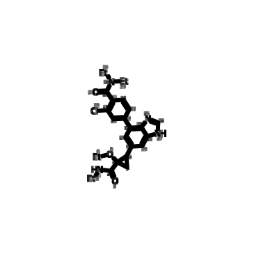 CCNC(=O)C1(OCC)CC1c1cc(-c2ccc(C(=O)N(CC)CC)c(Cl)c2)c2nc[nH]c2c1